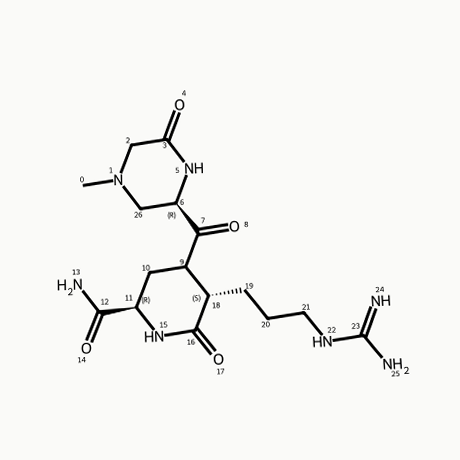 CN1CC(=O)N[C@@H](C(=O)C2C[C@H](C(N)=O)NC(=O)[C@H]2CCCNC(=N)N)C1